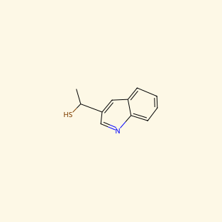 CC(S)c1cnc2ccccc2c1